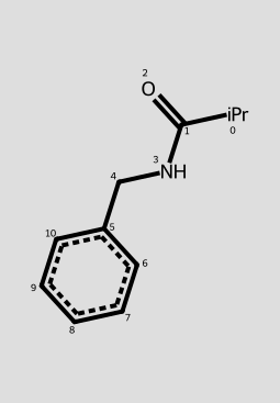 [CH2]C(C)C(=O)NCc1ccccc1